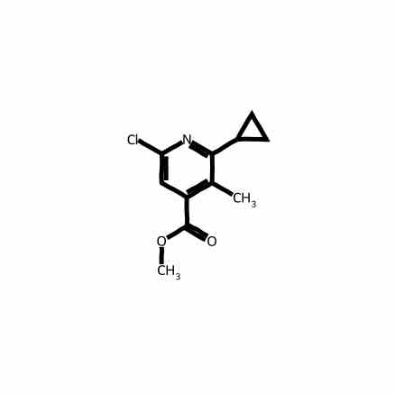 COC(=O)c1cc(Cl)nc(C2CC2)c1C